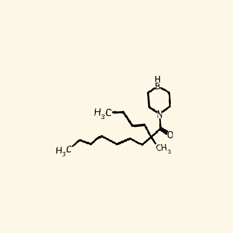 CCCCCCCC(C)(CCCC)C(=O)N1CCBCC1